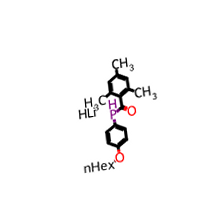 CCCCCCOc1ccc(PC(=O)c2c(C)cc(C)cc2C)cc1.[LiH]